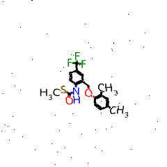 CSC(=O)Nc1ccc(C(F)(F)F)cc1COc1ccc(C)cc1C